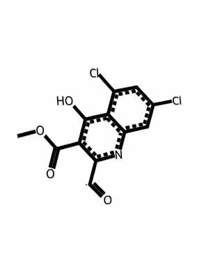 COC(=O)c1c([C]=O)nc2cc(Cl)cc(Cl)c2c1O